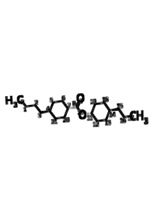 CCCC[C@H]1CC[C@H](C(=O)O[C@H]2CC[C@H](CCC)CC2)CC1